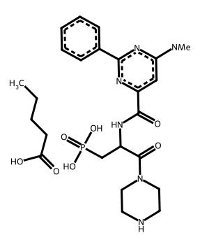 CCCCC(=O)O.CNc1cc(C(=O)NC(CP(=O)(O)O)C(=O)N2CCNCC2)nc(-c2ccccc2)n1